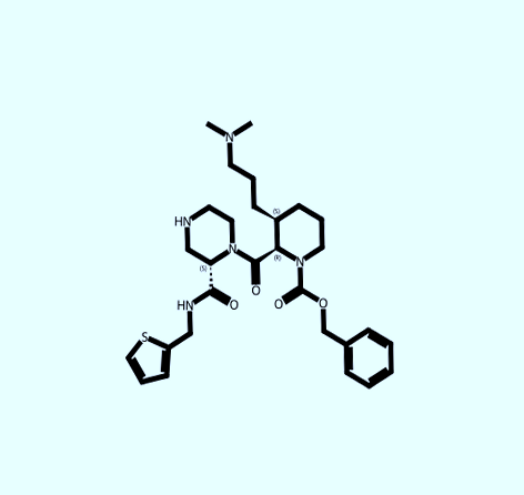 CN(C)CCC[C@H]1CCCN(C(=O)OCc2ccccc2)[C@H]1C(=O)N1CCNC[C@H]1C(=O)NCc1cccs1